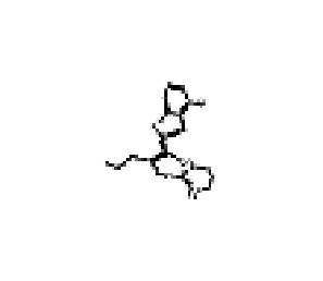 CCCC1=C(c2cc3c(F)cccc3s2)N2CCN=C2S1